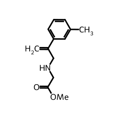 C=C(CNCC(=O)OC)c1cccc(C)c1